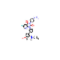 CN(C)Cc1cc(O)ccc1-c1cccc(-n2c(=O)n(C3CCC(N)CC3)c(=O)c3cc(F)cnc32)c1